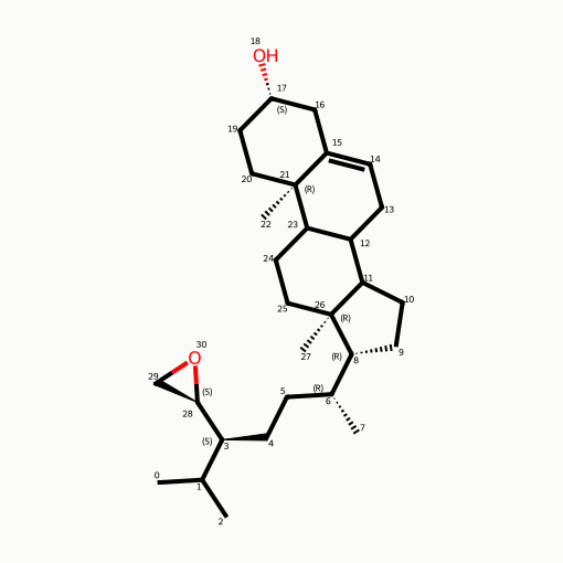 CC(C)[C@H](CC[C@@H](C)[C@H]1CCC2C3CC=C4C[C@@H](O)CC[C@]4(C)C3CC[C@@]21C)[C@H]1CO1